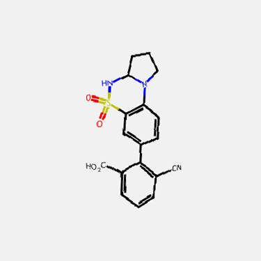 N#Cc1cccc(C(=O)O)c1-c1ccc2c(c1)S(=O)(=O)NC1CCCN21